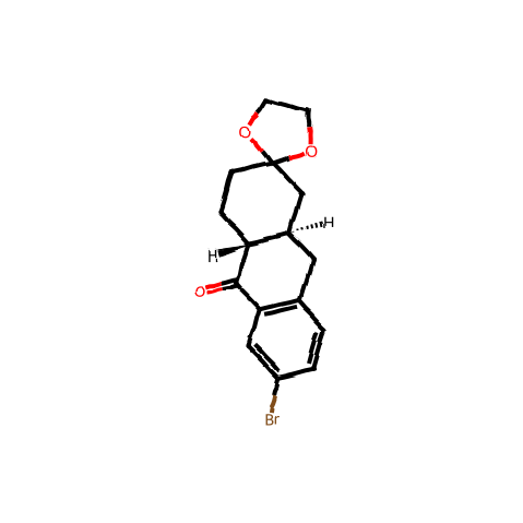 O=C1c2cc(Br)ccc2C[C@@H]2CC3(CC[C@@H]12)OCCO3